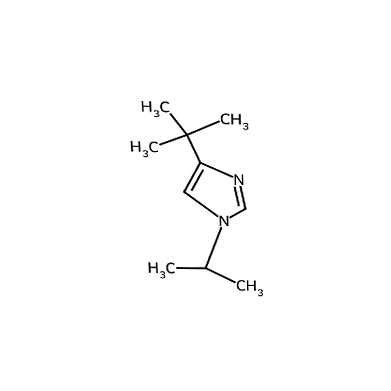 CC(C)n1cnc(C(C)(C)C)c1